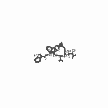 CC(C)[C@H](O)C(=O)N[C@H]1Cc2ccc3c(c2)C2(c4ccccc4NC2O3)c2oc(nc2C(=O)NCC(=O)c2c[nH]c3ccccc23)[C@H](C(C)C)NC1=O